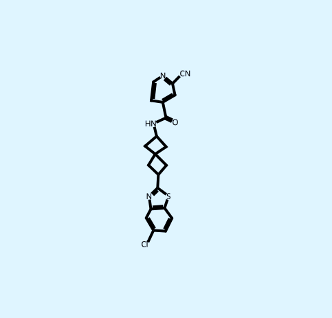 N#Cc1cc(C(=O)NC2CC3(C2)CC(c2nc4cc(Cl)ccc4s2)C3)ccn1